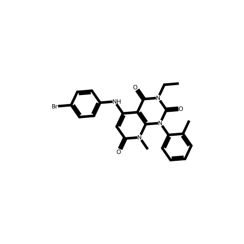 CCn1c(=O)c2c(Nc3ccc(Br)cc3)cc(=O)n(C)c2n(-c2ccccc2C)c1=O